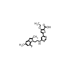 CCOc1cc(-c2cc(NCCn3c(C)cc4cc(C)cc(F)c43)ncn2)sc1C(=O)O